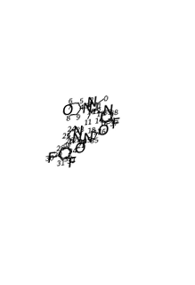 Cc1nn(C2CCOCC2)c(C)c1-c1cc(OC2CN(C(=O)N3N=CCC3c3cc(F)cc(F)c3)C2)c(F)cn1